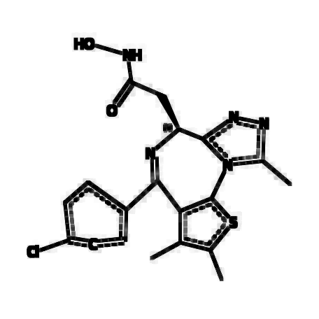 Cc1sc2c(c1C)C(c1ccc(Cl)cc1)=N[C@@H](CC(=O)NO)c1nnc(C)n1-2